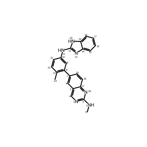 CNc1ncc2cc(-c3cc(Nc4nc5ccccc5[nH]4)ccc3C)ccc2n1